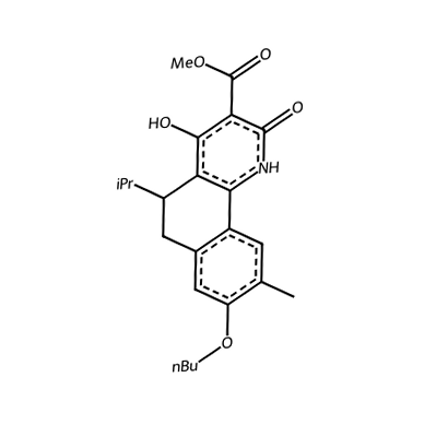 CCCCOc1cc2c(cc1C)-c1[nH]c(=O)c(C(=O)OC)c(O)c1C(C(C)C)C2